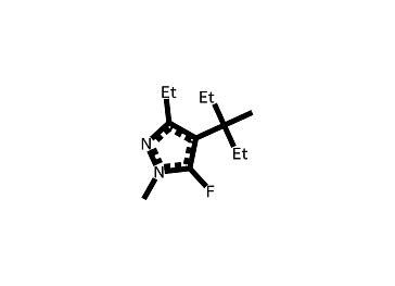 CCc1nn(C)c(F)c1C(C)(CC)CC